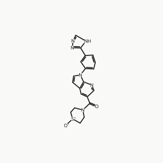 O=C(c1cnc2c(ccn2-c2cccc(-c3nnc[nH]3)c2)c1)N1CC[S+]([O-])CC1